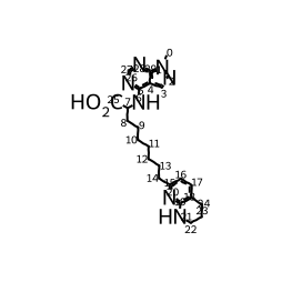 Cn1ncc2c(NC(CCCCCCCc3ccc4c(n3)NCCC4)C(=O)O)ncnc21